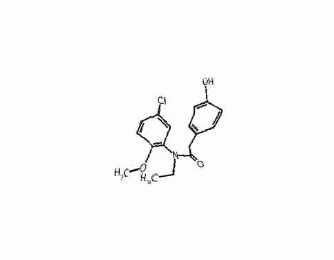 CCN(C(=O)c1ccc(O)cc1)c1cc(Cl)ccc1OC